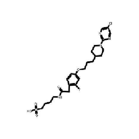 O=C(Cc1ccc(OCCCC2CCN(c3ncc(Cl)cn3)CC2)cc1F)NCCCCS(=O)(=O)O